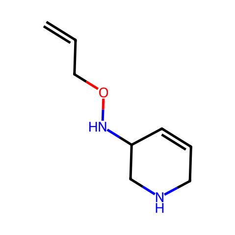 C=CCONC1C=CCNC1